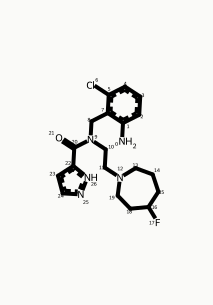 Nc1cccc(Cl)c1CN(CCN1CCCC(F)CC1)C(=O)c1ccn[nH]1